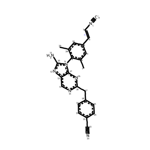 [C-]#[N+]/C=C/c1cc(C)c(-n2c(N)nc3cnc(Cc4ccc(C#N)cc4)nc32)c(C)c1